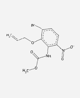 C=CCOc1c(Br)ccc([N+](=O)[O-])c1NC(=O)OC